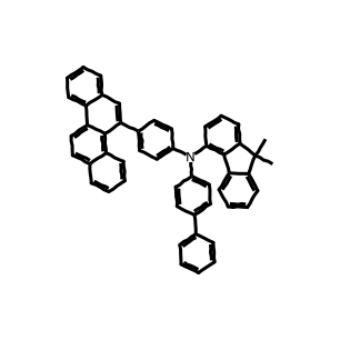 CC1(C)c2ccccc2-c2c(N(c3ccc(-c4ccccc4)cc3)c3ccc(-c4cc5ccccc5c5ccc6ccccc6c45)cc3)cccc21